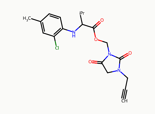 C#CCN1CC(=O)N(COC(=O)C(Nc2ccc(C)cc2Cl)C(C)C)C1=O